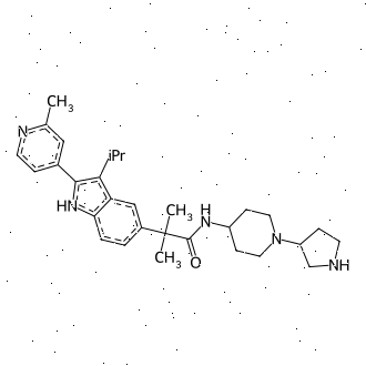 Cc1cc(-c2[nH]c3ccc(C(C)(C)C(=O)NC4CCN(C5CCNC5)CC4)cc3c2C(C)C)ccn1